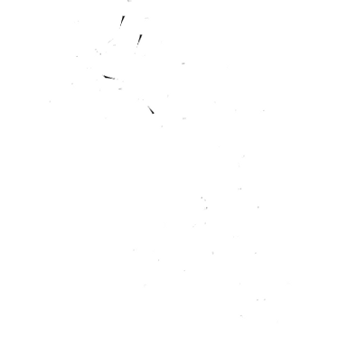 Cc1ccc2c3c1O[C@H]1C(OC(=O)[C@H](C)OC(=O)[C@H](CCC(=O)OC(C)(C)C)NC(=O)OC(C)(C)C)=CC[C@@]4(O)[C@@H](C2)N(C)CC[C@]314